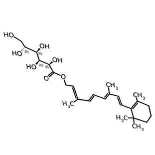 CC(C=CC1=C(C)CCCC1(C)C)=CC=CC(C)=CCOC(=O)[C@H](O)[C@@H](O)[C@H](O)[C@H](O)CO